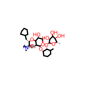 CC(=O)NC1C(O[C@@H](CC2CCCCC2)C(=O)N(C)C)[C@@H](O)[C@H](C)O[C@H]1O[C@@H]1CCCC(C)[C@H]1OC1O[C@@H](C)[C@H](O)C(O)[C@@H]1O